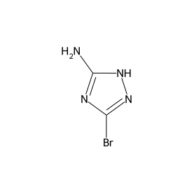 Nc1nc(Br)n[nH]1